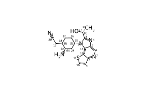 C[C@@H](O)c1nc2cnc3ccsc3c2n1[C@H]1CC[C@H](CC#N)[C@H](N)C1